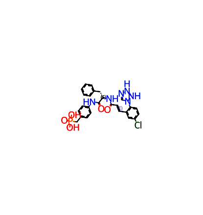 O=C(/C=C/c1cc(Cl)ccc1N1C=NNN1)N[C@@H](Cc1ccccc1)C(=O)Nc1ccc(CP(=O)(O)O)cc1